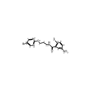 O=C(NCCCOc1ncc(Br)cn1)c1cc([N+](=O)[O-])ccc1F